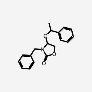 CC(OC1COC(=O)N1Cc1ccccc1)c1ccccc1